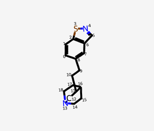 c1cc2sncc2cc1CCC1CN2CCC1CC2